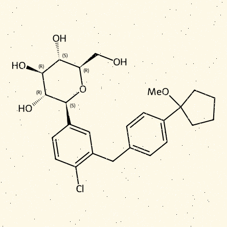 COC1(c2ccc(Cc3cc([C@@H]4O[C@H](CO)[C@@H](O)[C@H](O)[C@H]4O)ccc3Cl)cc2)CCCC1